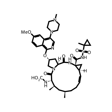 COc1ccc2c(O[C@@H]3C[C@H]4C(=O)N[C@]5(C(=O)NS(=O)(=O)C6(C)CC6)C[C@H]5C=CCC[C@@H](C)C[C@@H](C)[C@H](NC(=O)O)C(=O)N4C3)ncc(N3CCN(C)CC3)c2c1